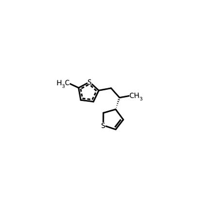 Cc1ccc(CC(C)[C@@H]2C=CSC2)s1